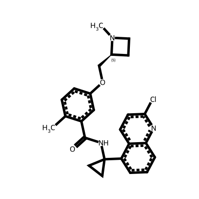 Cc1ccc(OC[C@@H]2CCN2C)cc1C(=O)NC1(c2cccc3nc(Cl)ccc23)CC1